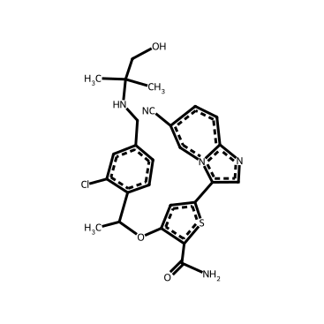 CC(Oc1cc(-c2cnc3ccc(C#N)cn23)sc1C(N)=O)c1ccc(CNC(C)(C)CO)cc1Cl